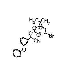 CC1(C)[C@H](OC(=O)OC(C#N)c2cccc(Oc3ccccc3)c2)[C@@H]1C=C(Br)Br